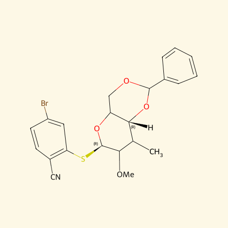 COC1C(C)[C@H]2OC(c3ccccc3)OCC2O[C@@H]1Sc1cc(Br)ccc1C#N